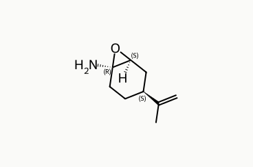 C=C(C)[C@H]1CC[C@@]2(N)O[C@H]2C1